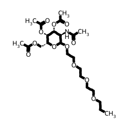 CCCOCCOCCOCCOC1O[C@H](COC(C)=O)[C@H](OC(C)=O)[C@H](OC(C)=O)[C@H]1NC(C)=O